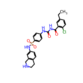 CCc1ccc(Cl)c(C(=O)NC(=O)Nc2ccc(S(=O)(=O)Nc3ccc4c(c3)CNCC4)cc2)c1